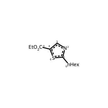 CCCCCCc1ncc(C(=O)OCC)s1